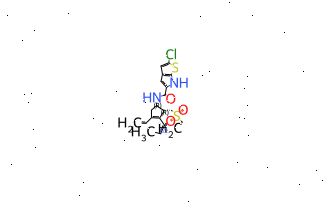 C=CC1=C(/C=C\C)[C@@H](CS(=O)(=O)C=C)[C@H](NC(=O)c2cc3cc(Cl)sc3[nH]2)C1